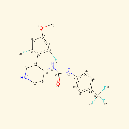 COc1cc(F)c(C2CNCC[C@H]2NC(=O)Nc2ccc(C(F)(F)F)cc2)c(F)c1